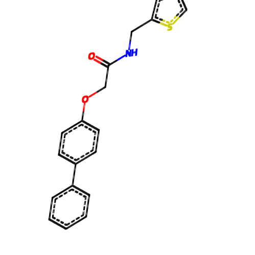 O=C(COc1ccc(-c2ccccc2)cc1)NCc1cccs1